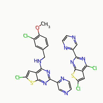 COc1ccc(CNc2nc(-c3cnccn3)nc3sc(Cl)cc23)cc1Cl.Clc1cc2c(Cl)nc(-c3cnccn3)nc2s1